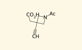 C#CC1(CC(=O)O)CN(C(C)=O)C1